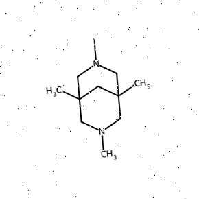 CN1CC2(C)CN(I)CC(C)(C1)C2